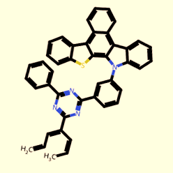 C=C/C=C(\C=C/C)c1nc(-c2ccccc2)nc(-c2cccc(-n3c4ccccc4c4c5ccccc5c5c6ccccc6sc5c43)c2)n1